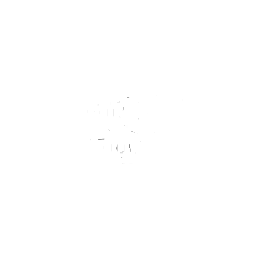 C=C(C)C(=O)OC12CC3(C4(OCC(C)(C)O)CCCC4)CC(C4(OCC(C)(C)O)CCCC4)(C1)CC(C1(OCC(C)(O)C(F)(F)F)CCCC1)(C2)C3